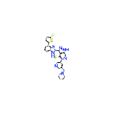 Fc1ccc(-c2cccc3[nH]c(-c4n[nH]c5cnc(-c6cncc(CN7CCCCC7)c6)c(F)c45)nc23)s1